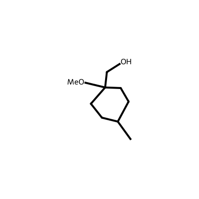 COC1(CO)CCC(C)CC1